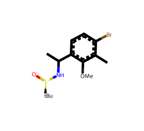 COc1c(C(C)N[S@+]([O-])C(C)(C)C)ccc(Br)c1C